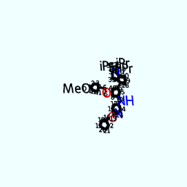 COc1ccc(COc2cc(Nc3ccc(OCc4ccccc4)nc3)cc(-c3cccc4c3ccn4[Si](C(C)C)(C(C)C)C(C)C)c2)cc1